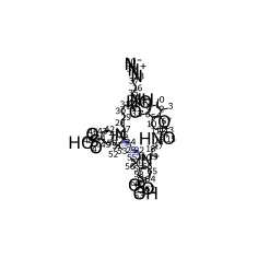 Cc1c(C)c2c(c(C)c1O)CCC(C)(C(=O)NCCC[N+]1=C(/C=C/C=C3/N(CCCCCC(=O)NCCCN=[N+]=[N-])c4ccc(S(=O)(=O)O)cc4C3(C)C)C(C)(C)c3cc(S(=O)(=O)O)ccc31)O2